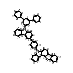 c1ccc(-c2cc(-c3ccccc3)nc(-n3c4ccccc4c4cc(-c5ccc(-n6c7ccccc7c7c8sc9ccccc9c8ccc76)cc5)ccc43)c2)cc1